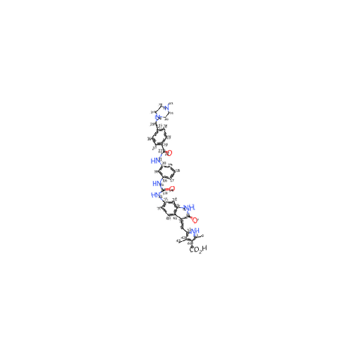 Cc1[nH]c(C=C2C(=O)Nc3cc(NC(=O)Nc4cccc(NC(=O)c5ccc(CN6CCN(C)CC6)cc5)c4)ccc32)c(C)c1C(=O)O